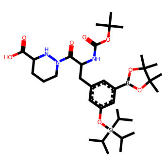 CC(C)[Si](Oc1cc(CC(NC(=O)OC(C)(C)C)C(=O)N2CCCC(C(=O)O)N2)cc(B2OC(C)(C)C(C)(C)O2)c1)(C(C)C)C(C)C